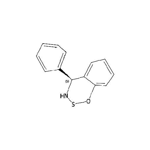 c1ccc([C@@H]2NSOc3ccccc32)cc1